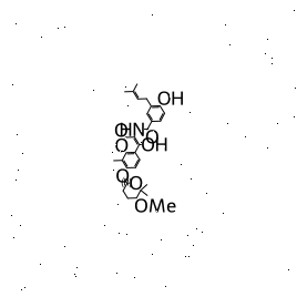 COC1CC[C@H](Oc2ccc3c(O)c(NC(=O)c4ccc(O)c(CC=C(C)C)c4)c(=O)oc3c2C)OC1(C)C